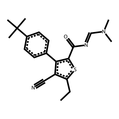 CCc1sc(C(=O)/N=C/N(C)C)c(-c2ccc(C(C)(C)C)cc2)c1C#N